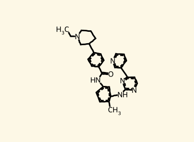 CCN1CCCC(c2ccc(C(=O)Nc3ccc(C)c(Nc4nccc(-c5cccnc5)n4)c3)cc2)C1